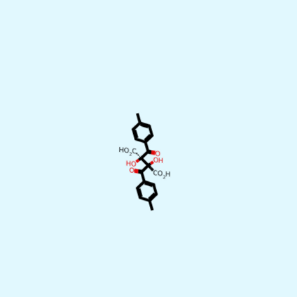 Cc1ccc(C(=O)C(O)(C(=O)O)[C@](O)(C(=O)O)C(=O)c2ccc(C)cc2)cc1